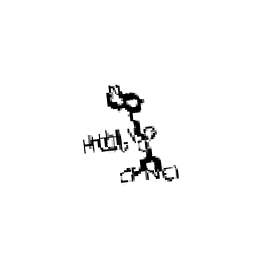 Cl.Cl.N[C@@H](CCc1cccc2ncccc12)C(=O)OCc1cc(Cl)nc(Cl)c1